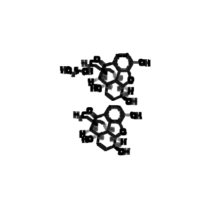 CN1CC[C@]23c4c5ccc(O)c4O[C@H]2[C@@H](O)C=C[C@@]3(O)[C@H]1C5=O.CN1CC[C@]23c4c5ccc(O)c4O[C@H]2[C@@H](O)C=C[C@@]3(O)[C@H]1C5=O.O=S(=O)(O)O